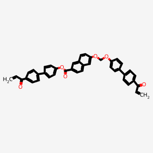 C=CC(=O)c1ccc(-c2ccc(OCOc3ccc4cc(C(=O)Oc5ccc(-c6ccc(C(=O)C=C)cc6)cc5)ccc4c3)cc2)cc1